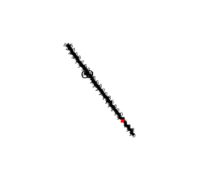 CCCCCCCCCCCCCCCCCCCCCCCCCCCCCCOC(=O)CCCCCCCCCCCCCC